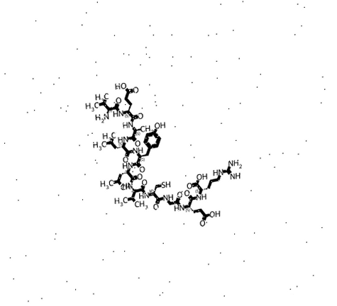 CC(C)C[C@H](NC(=O)[C@H](C)NC(=O)[C@H](CCC(=O)O)NC(=O)[C@@H](N)C(C)C)C(=O)N[C@@H](Cc1ccc(O)cc1)C(=O)N[C@@H](CC(C)C)C(=O)N[C@H](C(=O)N[C@@H](CS)C(=O)NCC(=O)N[C@@H](CCC(=O)O)C(=O)N[C@@H](CCCNC(=N)N)C(=O)O)C(C)C